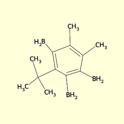 Bc1c(B)c(C(C)(C)C)c(B)c(C)c1C